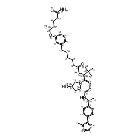 Cc1ncsc1-c1ccc([C@H](C)NC(=O)[C@@H]2C[C@@H](O)CN2C(=O)[C@@H](NC(=O)CCCCCc2cccc(O[C@H](C)CCCC(N)=O)c2)C(C)(C)C)cc1